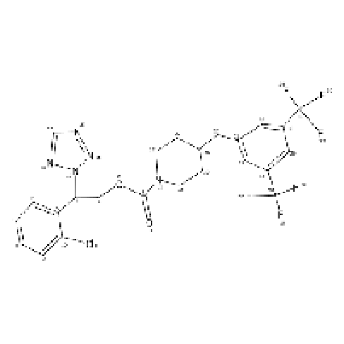 O=C(OCC(c1ccccc1Cl)n1ncnn1)N1CCC(Cc2cc(C(F)(F)F)cc(C(F)(F)F)c2)CC1